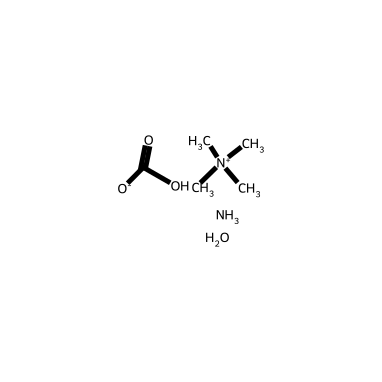 C[N+](C)(C)C.N.O.O=C([O-])O